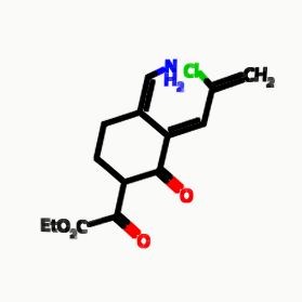 C=C(Cl)/C=C1/C(=O)C(C(=O)C(=O)OCC)CC/C1=C/N